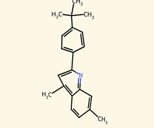 Cc1ccc2c(C)cc(-c3ccc(C(C)(C)C)cc3)nc2c1